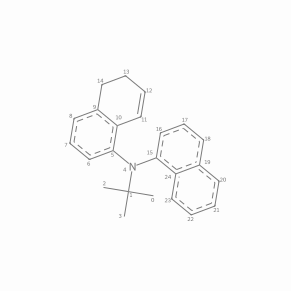 CC(C)(C)N(c1cccc2c1C=CCC2)c1cccc2ccccc12